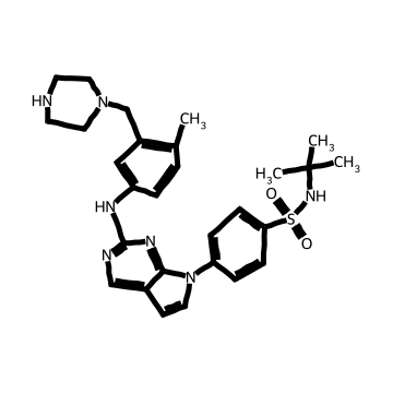 Cc1ccc(Nc2ncc3ccn(-c4ccc(S(=O)(=O)NC(C)(C)C)cc4)c3n2)cc1CN1CCNCC1